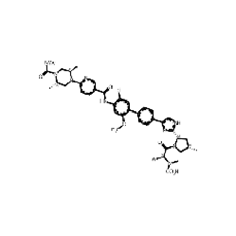 CNC(=O)N1C[C@@H](C)N(c2ccc(C(=O)Nc3cc(OC(F)(F)F)c(-c4ccc(-c5c[nH]c([C@@H]6C[C@H](C)CN6C(=O)[C@H](C(C)C)N(C)C(=O)O)n5)cc4)cc3Cl)cn2)C[C@@H]1C